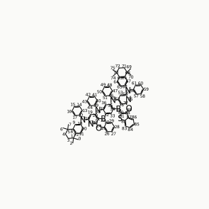 CC1(C)CCC(C)(C)c2cc(N(c3ccccc3)c3cc4c5c(n3)Oc3ccccc3B5c3cc5c(cc3N4c3ccccc3)N(c3ccccc3)c3cc(N(c4ccccc4)c4ccc6c(c4)C(C)(C)CCC6(C)C)nc4c3B5c3sc5ccccc5c3O4)ccc21